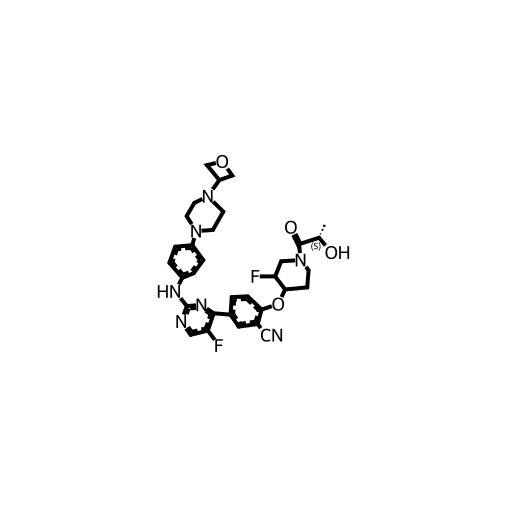 C[C@H](O)C(=O)N1CCC(Oc2ccc(-c3nc(Nc4ccc(N5CCN(C6COC6)CC5)cc4)ncc3F)cc2C#N)C(F)C1